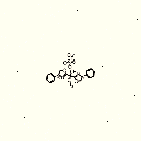 CC(C)(C1=N[C@@H](c2ccccc2)CO1)C1=N[C@@H](c2ccccc2)CO1.O=S(=O)([O-])C(F)(F)F.[Cu+]